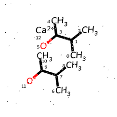 CC(C)C(C)[O-].CC(C)C(C)[O-].[Ca+2]